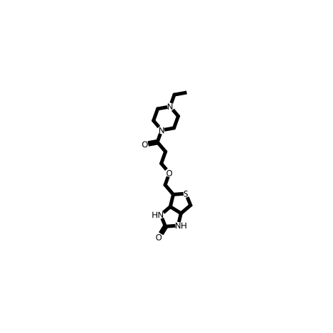 CCN1CCN(C(=O)CCOCC2SCC3NC(=O)NC32)CC1